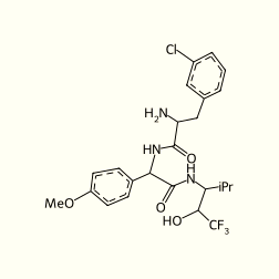 COc1ccc(C(NC(=O)C(N)Cc2cccc(Cl)c2)C(=O)NC(C(C)C)C(O)C(F)(F)F)cc1